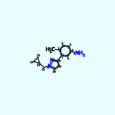 Cc1ccc(N)cc1-c1ccn(CC2CC2)n1